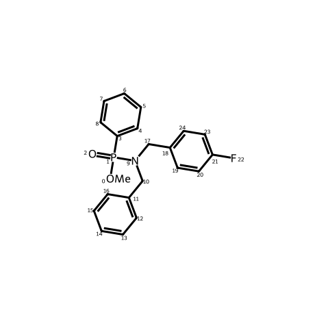 COP(=O)(c1ccccc1)N(Cc1ccccc1)Cc1ccc(F)cc1